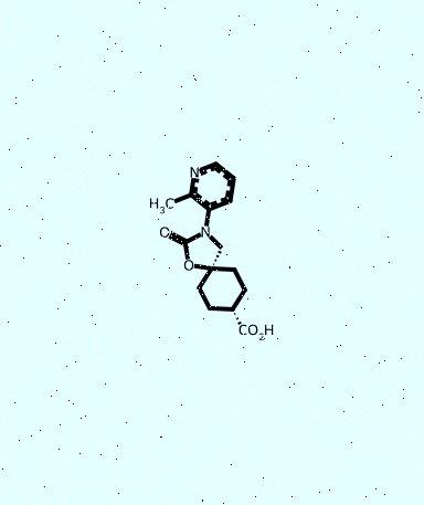 Cc1ncccc1N1C[C@]2(CC[C@@H](C(=O)O)CC2)OC1=O